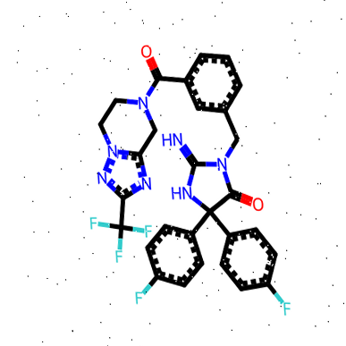 N=C1NC(c2ccc(F)cc2)(c2ccc(F)cc2)C(=O)N1Cc1cccc(C(=O)N2CCn3nc(C(F)(F)F)nc3C2)c1